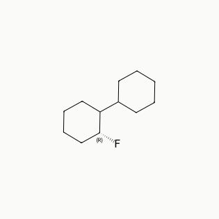 F[C@@H]1CCCCC1C1CCCCC1